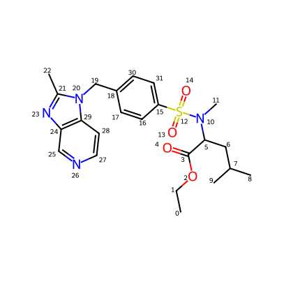 CCOC(=O)C(CC(C)C)N(C)S(=O)(=O)c1ccc(Cn2c(C)nc3cnccc32)cc1